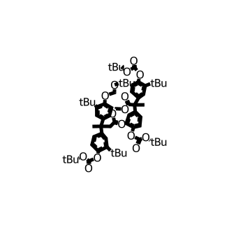 CC(C)(C)OCOc1ccc(C(C)(CC(=O)OCOC(=O)C(C)(c2ccc(OC(=O)OC(C)(C)C)cc2)c2ccc(OC(=O)OC(C)(C)C)c(C(C)(C)C)c2)c2ccc(OC(=O)OC(C)(C)C)c(C(C)(C)C)c2)cc1C(C)(C)C